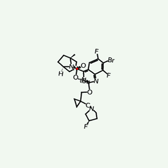 CC(C)(C)OC(=O)N1[C@@H]2CC[C@]1(C)CN(c1nc(OCC3(CN4CC[C@@H](F)C4)CC3)nc3c(F)c(Br)c(F)cc13)C2